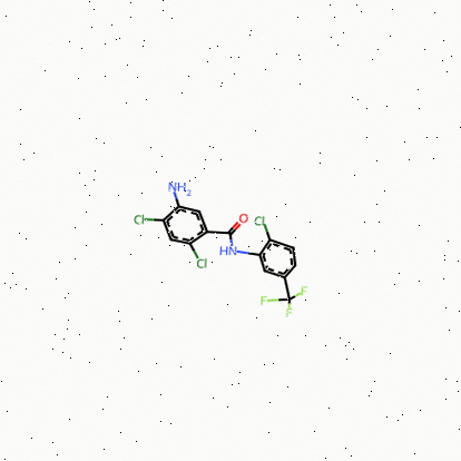 Nc1cc(C(=O)Nc2cc(C(F)(F)F)ccc2Cl)c(Cl)cc1Cl